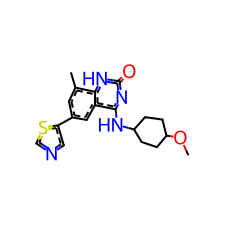 COC1CCC(Nc2nc(=O)[nH]c3c(C)cc(-c4cncs4)cc23)CC1